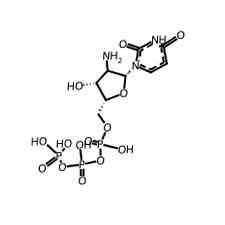 NC1[C@@H](O)[C@@H](COP(=O)(O)OP(=O)(O)OP(=O)(O)O)O[C@H]1n1ccc(=O)[nH]c1=O